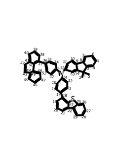 CC1(C)c2ccccc2-c2ccc(N(c3ccc(-c4cccc5c4sc4ccccc45)cc3)c3ccc(-c4cccc5ccc6ccccc6c45)cc3)cc21